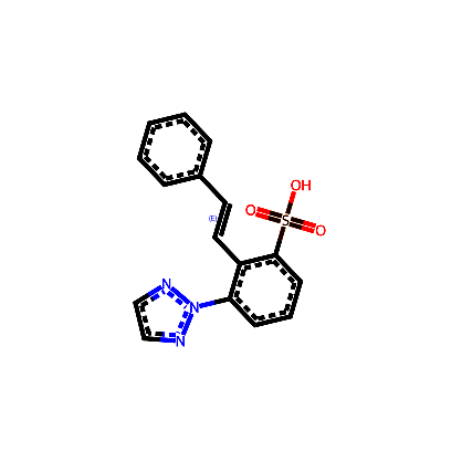 O=S(=O)(O)c1cccc(-n2nccn2)c1/C=C/c1ccccc1